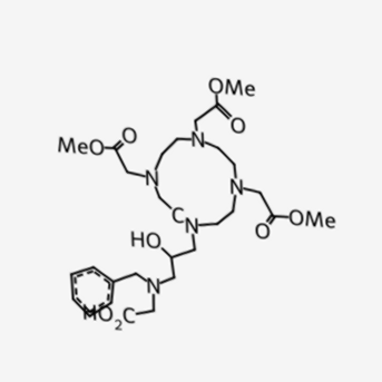 COC(=O)CN1CCN(CC(=O)OC)CCN(CC(O)CN(CC(=O)O)Cc2ccccc2)CCN(CC(=O)OC)CC1